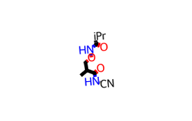 CC(C)C(=O)NOCC(C)C(=O)NC#N